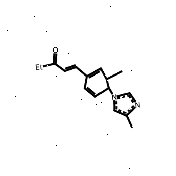 CCC(=O)/C=C/C1=CC(C)C(n2cnc(C)c2)C=C1